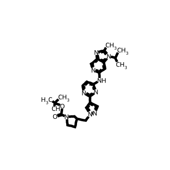 Cc1nc2cnc(Nc3ccnc(-c4cnn(CC5CCN(C(=O)OC(C)(C)C)C5)c4)n3)cc2n1C(C)C